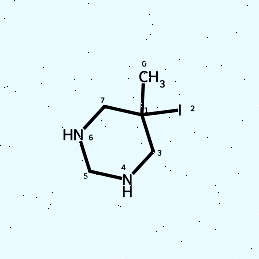 CC1(I)CNCNC1